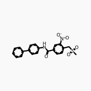 CS(=O)(=O)Cc1ccc(C(=O)Nc2ccc(-c3ccccc3)cc2)cc1[N+](=O)[O-]